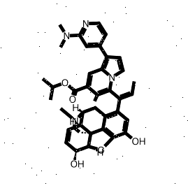 CC=C(c1cc(O)c2c3c1C[C@@H]1[C@@H]4C=C[C@H](O)[C@H](O2)[C@]34CCN1C)c1c(C)c(C(=O)OC(C)C)cc2c(-c3ccnc(N(C)C)c3)ccn12